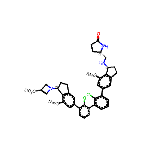 CCOC(=O)C1CN([C@H]2CCc3cc(-c4cccc(-c5cccc(-c6cc7c(c(OC)c6)[C@@H](NC[C@@H]6CCC(=O)N6)CC7)c5Cl)c4Cl)cc(OC)c32)C1